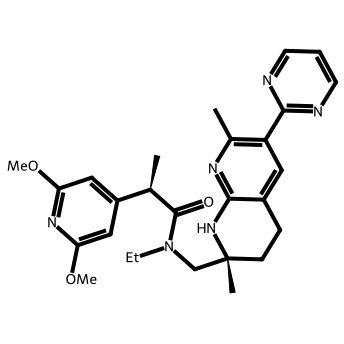 CCN(C[C@@]1(C)CCc2cc(-c3ncccn3)c(C)nc2N1)C(=O)[C@H](C)c1cc(OC)nc(OC)c1